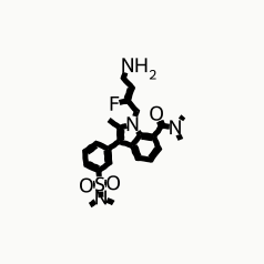 Cc1c(-c2cccc(S(=O)(=O)N(C)C)c2)c2cccc(C(=O)N(C)C)c2n1CC(F)=CCN